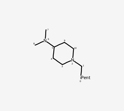 CCCC(C)CN1CCC(N(C)C)CC1